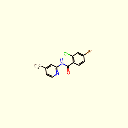 O=C(Nc1cc(C(F)(F)F)ccn1)c1ccc(Br)cc1Cl